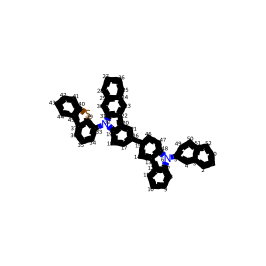 c1ccc2cc(-n3c4ccccc4c4cc(-c5ccc6c(c5)c5cc7ccccc7cc5n6-c5cccc6c5sc5ccccc56)ccc43)ccc2c1